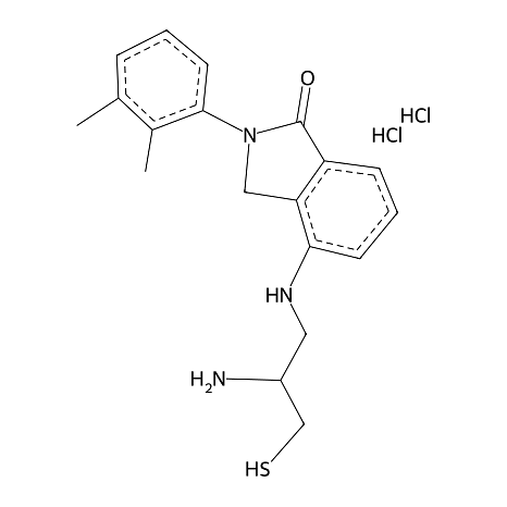 Cc1cccc(N2Cc3c(NCC(N)CS)cccc3C2=O)c1C.Cl.Cl